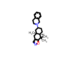 CC1(C)c2oncc2C[C@]2(C)C[C@@H](N3CCc4ccccc4C3)CC[C@@H]12